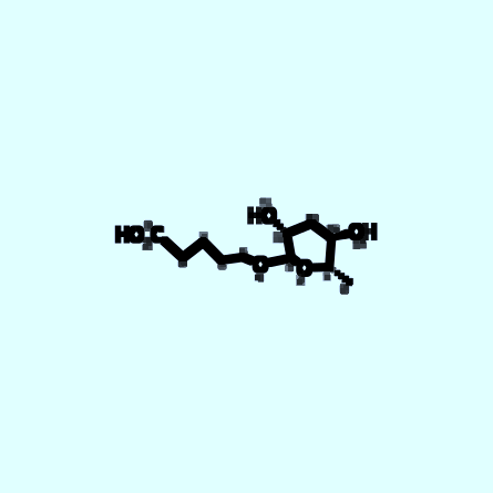 C[C@@H]1OC(OCCCCC(=O)O)[C@H](O)C[C@H]1O